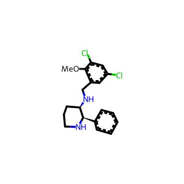 COc1c(Cl)cc(Cl)cc1CN[C@@H]1CCCN[C@@H]1c1ccccc1